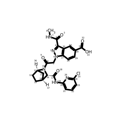 CNC(=O)c1nn(CC(=O)N2[C@@H]3CC[C@@H](C3)[C@H]2C(=O)Nc2cccc(Cl)n2)c2ccc(C(=O)O)cc12